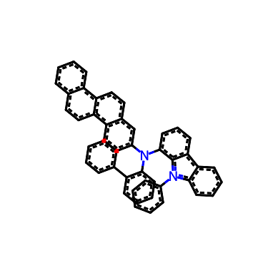 c1ccc(-c2ccccc2N(c2ccc3c(ccc4c5ccccc5ccc34)c2)c2cccc3c4ccccc4n(-c4ccccc4)c23)cc1